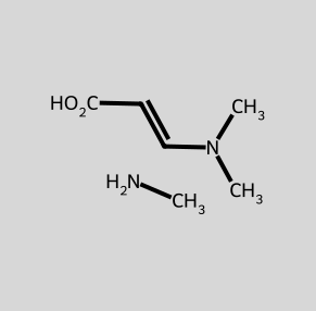 CN.CN(C)C=CC(=O)O